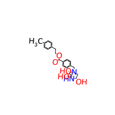 Cc1ccc(CCOC(=O)c2ccc(CN3CC(O)NS3(O)O)cc2)cc1